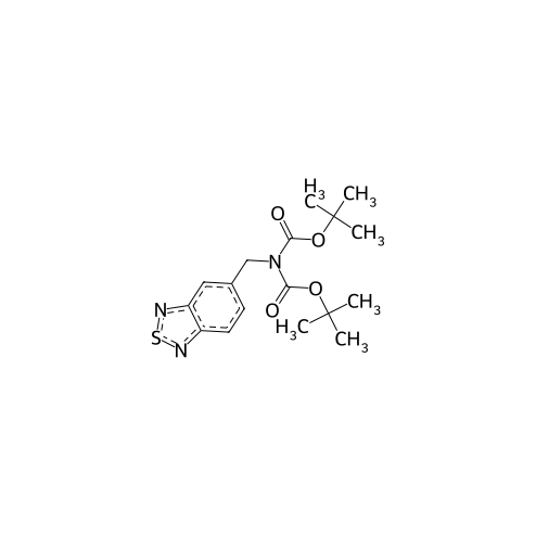 CC(C)(C)OC(=O)N(Cc1ccc2nsnc2c1)C(=O)OC(C)(C)C